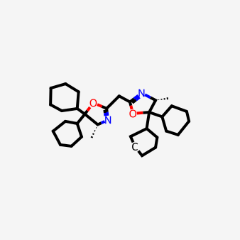 C[C@H]1N=C(CC2=N[C@H](C)C(C3CCCCC3)(C3CCCCC3)O2)OC1(C1CCCCC1)C1CCCCC1